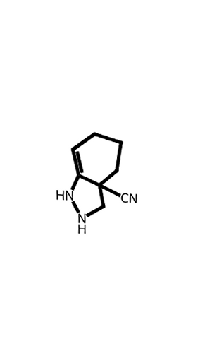 N#CC12CCCC=C1NNC2